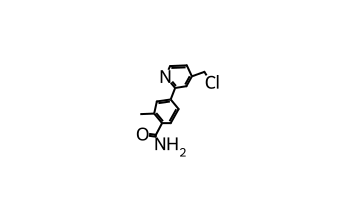 Cc1cc(-c2cc(CCl)ccn2)ccc1C(N)=O